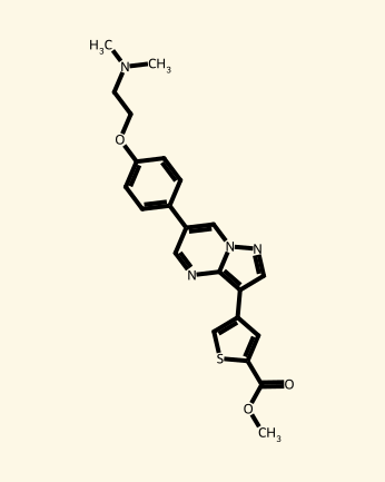 COC(=O)c1cc(-c2cnn3cc(-c4ccc(OCCN(C)C)cc4)cnc23)cs1